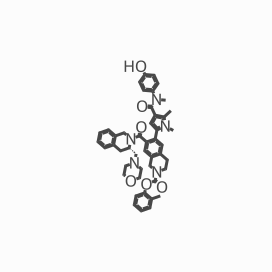 Cc1ccccc1OC(=O)N1CCc2cc(-c3cc(C(=O)N(C)c4ccc(O)cc4)c(C)n3C)c(C(=O)N3Cc4ccccc4C[C@H]3CN3CCOCC3)cc2C1